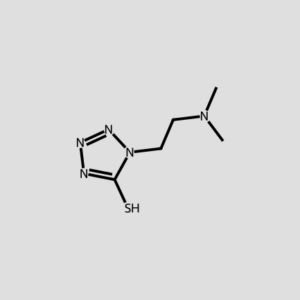 CN(C)CCn1nnnc1S